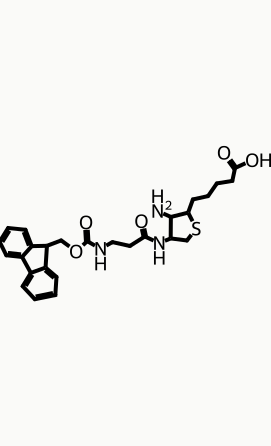 NC1C(NC(=O)CCNC(=O)OCC2c3ccccc3-c3ccccc32)CSC1CCCCC(=O)O